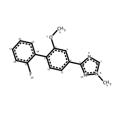 COc1cc(-c2ncn(C)n2)ccc1-c1ccccc1F